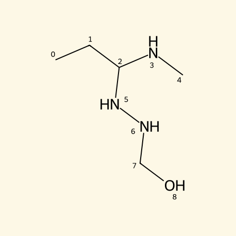 CCC(NC)NNCO